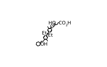 CCC(CC)(c1ccc(CCC2(O)CCCCC2)c(C)c1)c1ccc(OC[C@@H](O)CCC(=O)O)c(C)c1